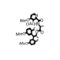 COc1ccc(F)c(C(c2cc(OC)ccc2F)[C@H](C)OC(=O)[C@H](C)NC(=O)c2nccc(OC)c2OC(C)=O)c1